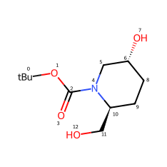 CC(C)(C)OC(=O)N1C[C@H](O)CC[C@H]1CO